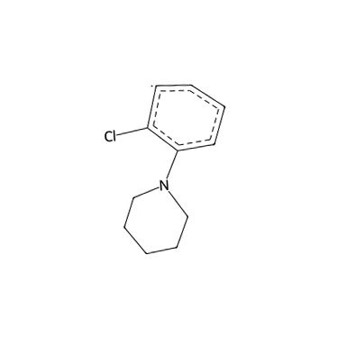 Clc1[c]cccc1N1CCCCC1